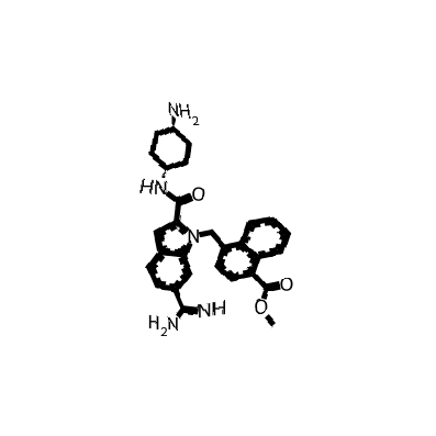 COC(=O)c1ccc(Cn2c(C(=O)N[C@H]3CC[C@H](N)CC3)cc3ccc(C(=N)N)cc32)c2ccccc12